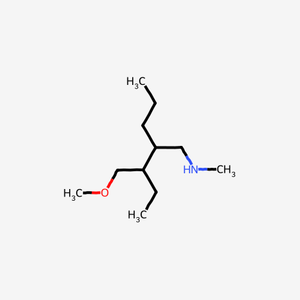 CCCC(CNC)C(CC)COC